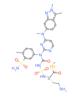 CPC(=O)[C@H](CCN)NS(=O)(=O)NC(=O)N(c1ccc(C)c(S(N)(=O)=O)c1)c1nccc(N(C)c2ccc3c(C)n(C)nc3c2)n1